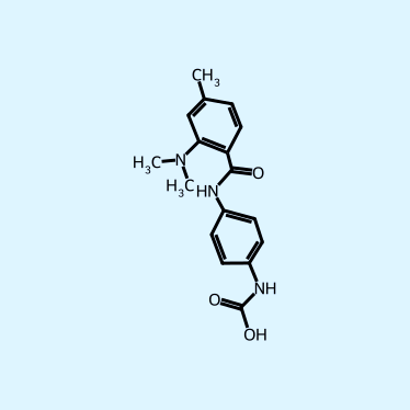 Cc1ccc(C(=O)Nc2ccc(NC(=O)O)cc2)c(N(C)C)c1